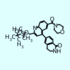 CC(C)(C)[Si](C)(C)OCc1cc(-c2ccc3c(c2)CCNC3=O)c2cc(C(=O)N3CCOCC3)ccc2n1